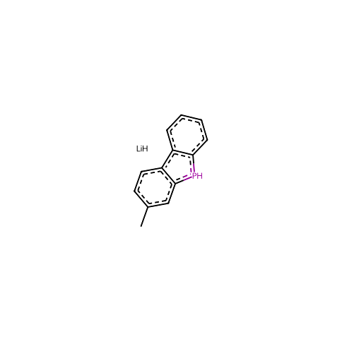 Cc1ccc2c(c1)[pH]c1ccccc12.[LiH]